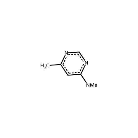 CNc1cc(C)ncn1